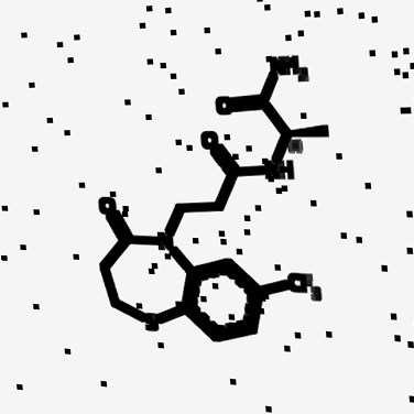 C[C@@H](NC(=O)CCN1C(=O)CCSc2ccc(C(F)(F)F)cc21)C(N)=O